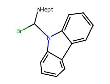 CCCCCCCC(Br)n1c2ccccc2c2ccccc21